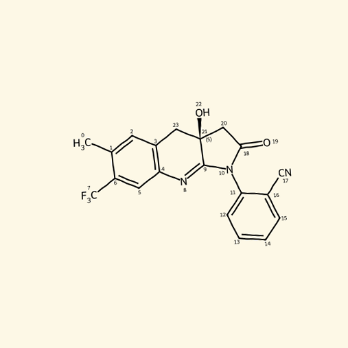 Cc1cc2c(cc1C(F)(F)F)N=C1N(c3ccccc3C#N)C(=O)C[C@@]1(O)C2